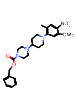 COc1cc(N2CCC(N3CCN(C(=O)OCc4ccccc4)CC3)CC2)c(C)cc1[N+](=O)[O-]